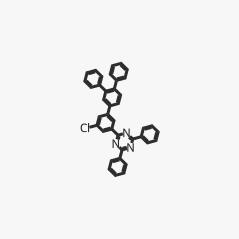 Clc1cc(-c2ccc(-c3ccccc3)c(-c3ccccc3)c2)cc(-c2nc(-c3ccccc3)nc(-c3ccccc3)n2)c1